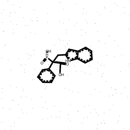 O=C(O)C(Cc1cc2ccccc2[nH]1)(c1ccccc1)[PH](=O)O